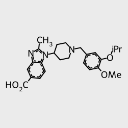 COc1ccc(CN2CCC(n3c(C)nc4cc(C(=O)O)ccc43)CC2)cc1OC(C)C